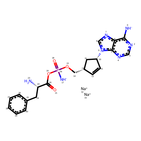 [NH-]c1ncnc2c1ncn2[C@@H]1C=C[C@H](COP([NH-])(=O)OC(=O)[C@@H](N)Cc2ccccc2)C1.[Na+].[Na+]